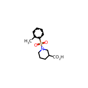 Cc1ccccc1S(=O)(=O)N1CCCC(C(=O)O)C1